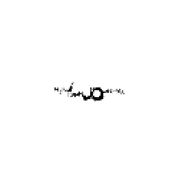 CC(=O)Nc1ccc(C=NNC(N)=S)nc1